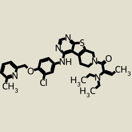 C/C=C(\C(=O)N1CCc2c(sc3ncnc(Nc4ccc(OCc5cccc(C)n5)c(Cl)c4)c23)C1)N(CC)CC